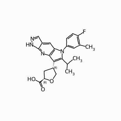 Cc1cc(-n2c(C(C)C)c([C@@H]3CO[C@@H](C(=O)O)C3)c3nc4[nH]ncc4cc32)ccc1F